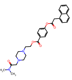 CN(C)C(=O)CN1CCN(CCOC(=O)c2ccc(OC(=O)Cc3cccc4ccccc34)cc2)CC1